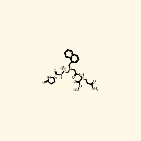 CC[C@H](C)[C@@H](CN(CC(=O)N[C@@H](CCC(N)=O)C(=O)OC(C)(C)C)Cc1cccc2ccccc12)NC(=O)[C@@H]1CCC(=O)N1